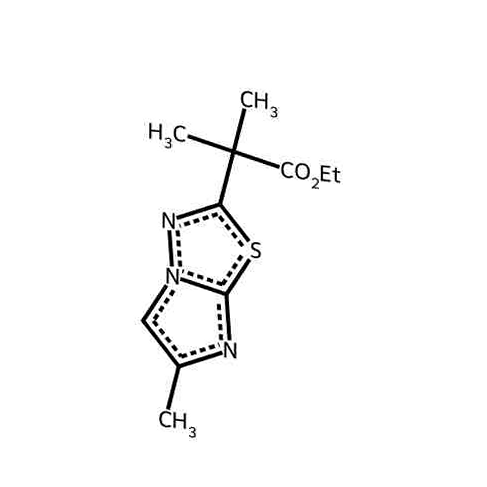 CCOC(=O)C(C)(C)c1nn2cc(C)nc2s1